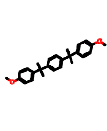 COc1ccc(C(C)(C)c2ccc(C(C)(C)c3ccc(OC)cc3)cc2)cc1